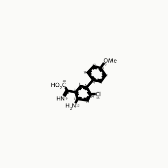 COc1ccc(-c2cc(C(=N)C(=O)O)c(N)cc2Cl)cc1